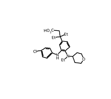 CCN(c1ccc(C(CC)(CC)CC(=O)O)cc1Nc1ccc(Cl)cc1)C1CCOCC1